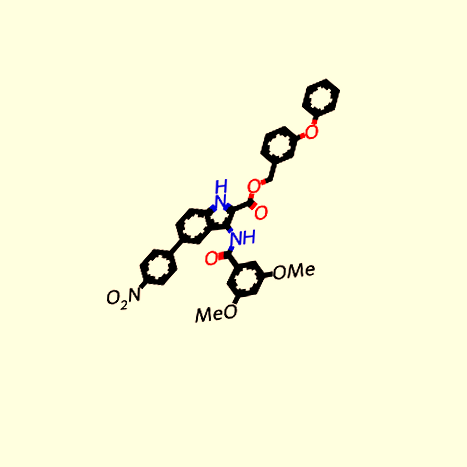 COc1cc(OC)cc(C(=O)Nc2c(C(=O)OCc3cccc(Oc4ccccc4)c3)[nH]c3ccc(-c4ccc([N+](=O)[O-])cc4)cc23)c1